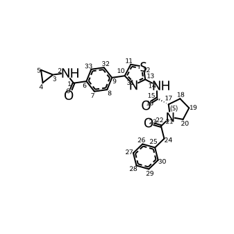 O=C(NC1CC1)c1ccc(-c2csc(NC(=O)[C@@H]3CCCN3C(=O)Cc3ccccc3)n2)cc1